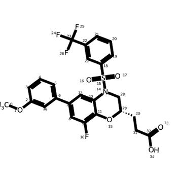 COc1cccc(-c2cc(F)c3c(c2)N(S(=O)(=O)c2cccc(C(F)(F)F)c2)C[C@H](CCC(=O)O)O3)c1